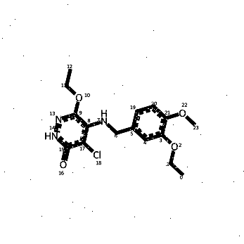 CCOc1cc(CNc2c(OCC)n[nH]c(=O)c2Cl)ccc1OC